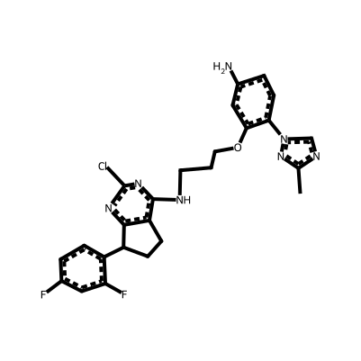 Cc1ncn(-c2ccc(N)cc2OCCCNc2nc(Cl)nc3c2CCC3c2ccc(F)cc2F)n1